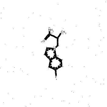 CC(Cn1ccc2cc(F)ccc21)C(N)=O